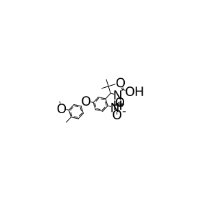 COc1cc(Oc2ccc([N+](=O)[O-])c(C(NC(=O)O)C(C)(C)C)c2)ccc1C